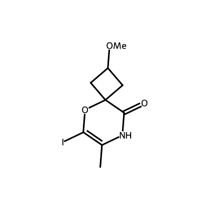 COC1CC2(C1)OC(I)=C(C)NC2=O